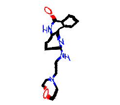 O=c1[nH]c2ccc(NCCN3CCOCC3)nc2c2ccccc12